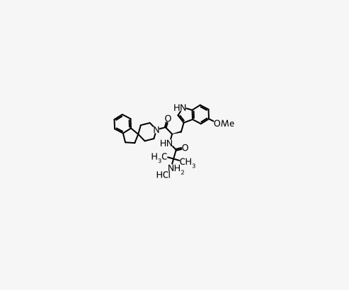 COc1ccc2[nH]cc(C[C@@H](NC(=O)C(C)(C)N)C(=O)N3CCC4(CCc5ccccc54)CC3)c2c1.Cl